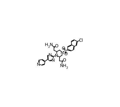 NC(=O)CC1CN(S(=O)(=O)c2ccc3cc(Cl)ccc3c2)CC(CC(N)=O)N1c1ncc(-c2ccncc2)cn1